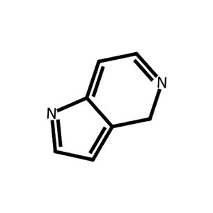 C1=NCC2=CC=NC2=C1